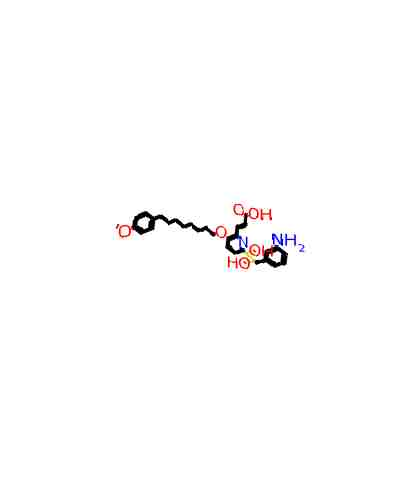 COc1ccc(CCCCCCCCOc2ccc(S(O)(O)Cc3cccc(N)c3)nc2C=CC(=O)O)cc1